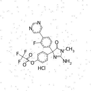 CN1C(=O)C(c2ccc(OS(=O)(=O)C(F)(F)F)cc2)(c2ccc(-c3cncnc3)c(F)c2)N=C1N.Cl